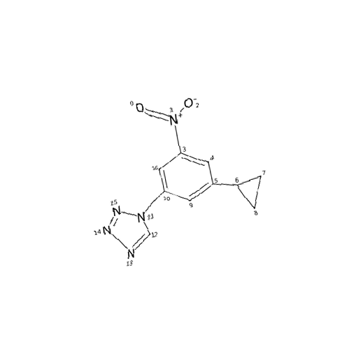 O=[N+]([O-])c1cc(C2CC2)cc(-n2cnnn2)c1